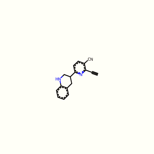 C#Cc1nc(C2CNc3ccccc3C2)ccc1C#N